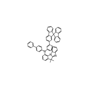 CC1(C)c2cccc(N(c3ccc(-c4ccccc4)cc3)c3cccc(-c4ccc5c(c4)C4(c6ccccc6-c6ccccc64)c4ccccc4-5)c3)c2-n2c1nc1ccccc12